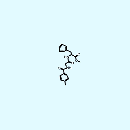 COC(=O)C(Cc1ccccc1)NC(=O)CNC(=O)c1ccc(C)cc1